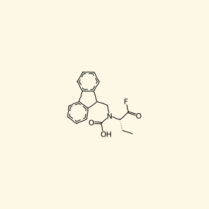 CC[C@@H](C(=O)F)N(CC1c2ccccc2-c2ccccc21)C(=O)O